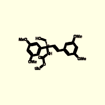 COc1cc(C=C[C@@](CO)(NC(=O)OC(C)(C)C)c2cc(OC)cc(OC)c2)cc(OC)c1